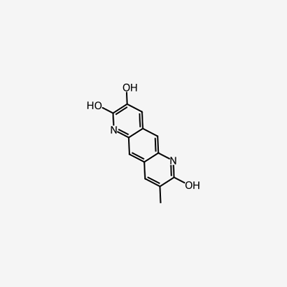 Cc1cc2cc3nc(O)c(O)cc3cc2nc1O